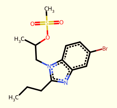 CCCc1nc2cc(Br)ccc2n1CC(C)OS(C)(=O)=O